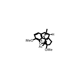 COc1ccc2c3c1OC1C4(OC)CCC5(C[C@@H]4C(C)=O)[C@@H](C2)N(C)CC[C@]315